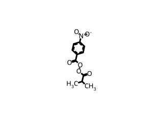 CC(C)C(=O)OOC(=O)c1ccc([N+](=O)[O-])cc1